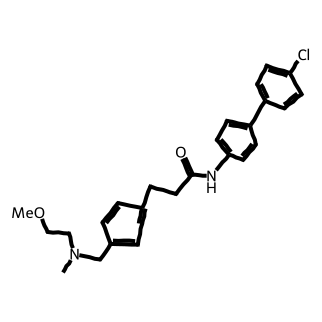 COCCN(C)Cc1ccc(CCC(=O)Nc2ccc(-c3ccc(Cl)cc3)cc2)cc1